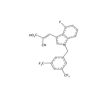 N#C/C(=C\c1cn(Cc2cc(C(F)(F)F)cc(C(F)(F)F)c2)c2cccc(F)c12)C(=O)O